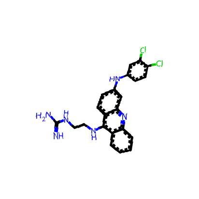 N=C(N)NCCNc1c2ccccc2nc2cc(Nc3ccc(Cl)c(Cl)c3)ccc12